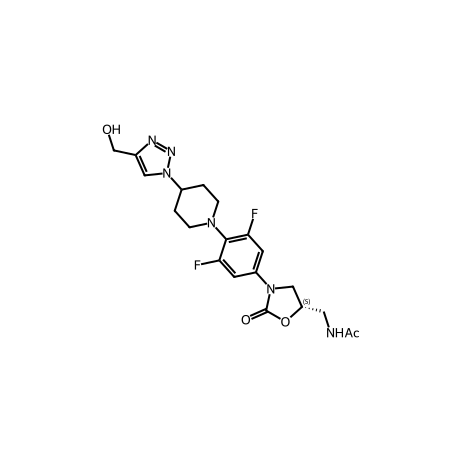 CC(=O)NC[C@H]1CN(c2cc(F)c(N3CCC(n4cc(CO)nn4)CC3)c(F)c2)C(=O)O1